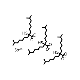 CC(C)CCCCCC(S)(CCCCCC(C)C)C(=O)[O-].CC(C)CCCCCC(S)(CCCCCC(C)C)C(=O)[O-].CC(C)CCCCCC(S)(CCCCCC(C)C)C(=O)[O-].[Sb+3]